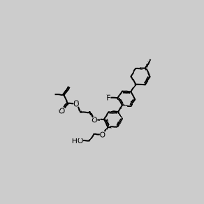 C=C(C)C(=O)OCCOc1cc(-c2ccc(C3C=CC(C)CC3)cc2F)ccc1OCCO